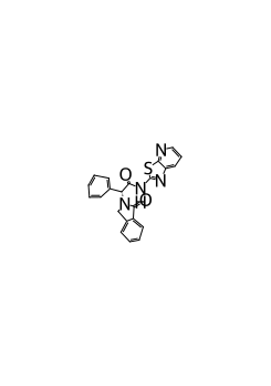 O=C(Nc1nc2cccnc2s1)[C@@H](c1ccccc1)N1Cc2ccccc2C1=O